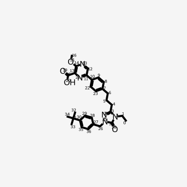 CCn1c(CCCc2ccc(-c3cnc(OC)c(C(=O)O)n3)cc2)nn(Cc2ccc(C(C)(C)C)cc2)c1=O